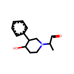 CC([C]=O)N1CCC(O)C(c2ccccc2)C1